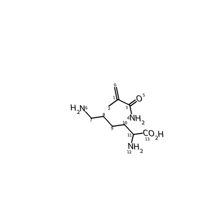 C=C(C)C(N)=O.NCCCCC(N)C(=O)O